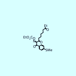 CCOC(=O)O/N=C(\C(=O)CCCCCC(=O)CC)C(=O)c1ccc(SC)cc1